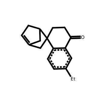 CCc1ccc2c(c1)C(=O)CCC21CC2=CCC1C2